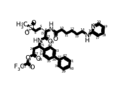 CS(=O)(=O)CC[C@H](NC(=O)CCCCCNc1ccccn1)C(=O)NC(CC(=O)OC(=O)C(F)(F)F)c1ccc(-c2ccccc2)cc1